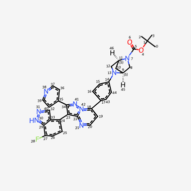 CC(C)(C)OC(=O)N1C[C@@H]2C[C@H]1CN2c1ccc(-c2ccnc3c(-c4ccc(F)c5[nH]ncc45)c(-c4ccncc4)nn23)cc1